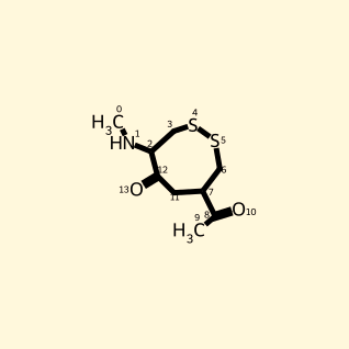 CNC1CSSCC(C(C)=O)CC1=O